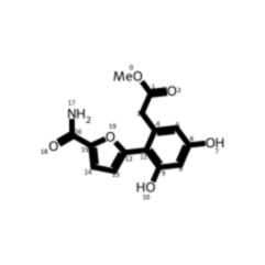 COC(=O)Cc1cc(O)cc(O)c1-c1ccc(C(N)=O)o1